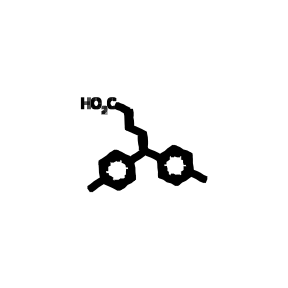 Cc1ccc(C(=CC=CC(=O)O)c2ccc(C)cc2)cc1